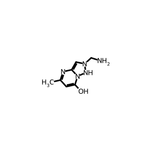 CC1=NC2=CN(CN)NN2C(O)=C1